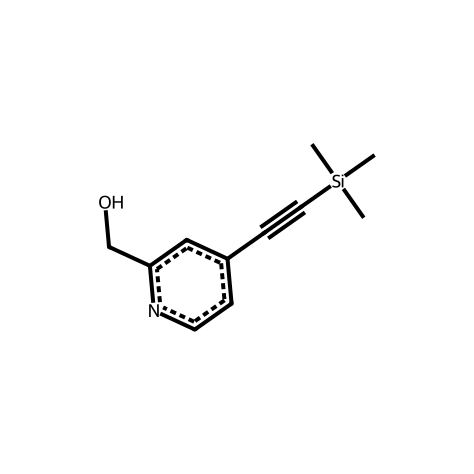 C[Si](C)(C)C#Cc1ccnc(CO)c1